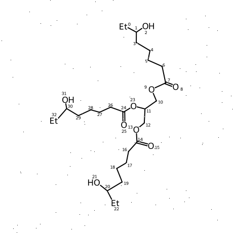 CCC(O)CCCCC(=O)OCC(COC(=O)CCCCC(O)CC)OC(=O)CCCCC(O)CC